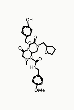 COc1ccc(CNC(=O)N2C3CN(CC4CCCO4)C(=O)[C@H](Cc4ccc(O)cc4)N3C(=O)CN2C)cc1